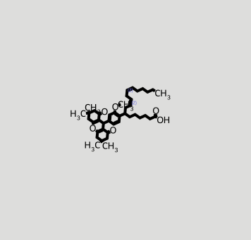 CCCCC/C=C\C/C=C\CC(CCCCCC(=O)O)c1ccc(C2C3=C(CC(C)(C)CC3=O)OC3=C2C(=O)CC(C)(C)C3)cc1OC